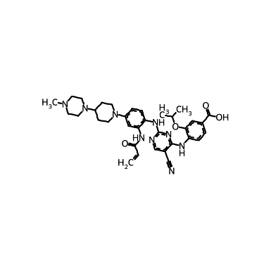 C=CC(=O)Nc1cc(N2CCC(N3CCN(C)CC3)CC2)ccc1Nc1ncc(C#N)c(Nc2ccc(C(=O)O)cc2OC(C)C)n1